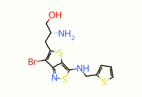 N[C@@H](CO)Cc1sc2c(NCc3cccs3)snc2c1Br